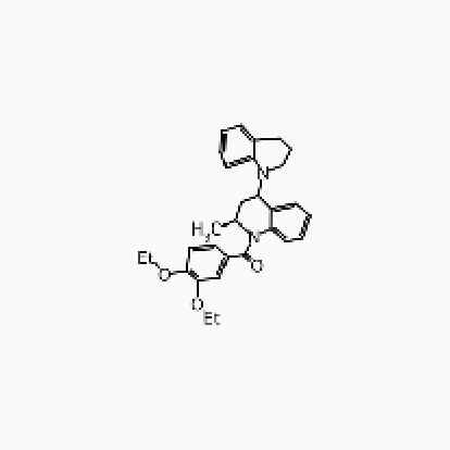 CCOc1ccc(C(=O)N2c3ccccc3C(N3CCCc4ccccc43)CC2C)cc1OCC